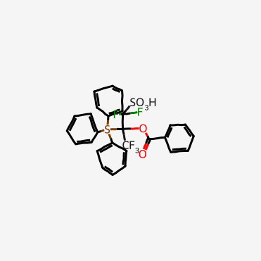 O=C(OC(C(F)(F)F)(C(F)(F)S(=O)(=O)O)S(c1ccccc1)(c1ccccc1)c1ccccc1)c1ccccc1